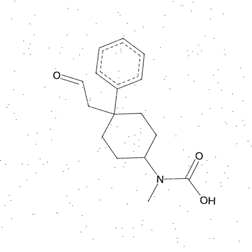 CN(C(=O)O)C1CCC(CC=O)(c2ccccc2)CC1